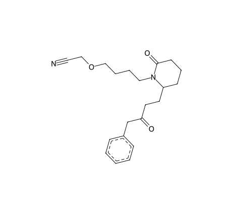 N#CCOCCCCN1C(=O)CCCC1CCC(=O)Cc1ccccc1